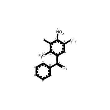 Cc1c([N+](=O)[O-])c(C(F)(F)F)cc(C(=O)c2ccccc2)c1C(F)(F)F